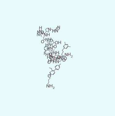 CCc1cc(OCCCCN)ccc1-c1ccc(C[C@H](NC(=O)[C@H](CC(=O)O)NC(=O)[C@H](C)NC(=O)[C@@H](NC(=O)[C@](C)(Cc2ccccc2F)NC(=O)[C@@H](NC(=O)CNC(=O)[C@H](Cc2nn[nH]n2)NC(=O)[C@H]2CCN(CCc3cnc[nH]3)C2)[C@@H](C)O)[C@@H](C)O)C(=O)N[C@@H](CCCc2cc(C)cc(C)c2)C(N)=O)cc1